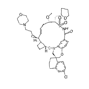 CO[C@H]1C/C=C/[C@H](OCCN2CCOCC2)[C@@H]2CC[C@H]2CN2C[C@@]3(CCCc4cc(Cl)ccc43)COc3ccc(cc32)C(=O)NS(=O)(=O)[C@H]1C[C@@H]1CCCO1